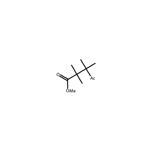 COC(=O)C(C)(C)C(C)(C)C(C)=O